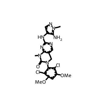 COc1cc(OC)c(Cl)c(N2Cc3cnc(Nc4cnn(C)c4N)nc3N(C)C2=O)c1Cl